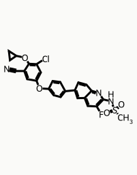 CS(=O)(=O)Nc1nc2ccc(-c3ccc(Oc4cc(Cl)c(OC5CC5)c(C#N)c4)cc3)cc2cc1F